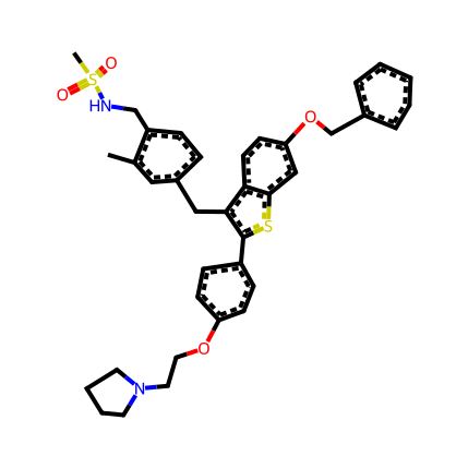 Cc1cc(Cc2c(-c3ccc(OCCN4CCCC4)cc3)sc3cc(OCc4ccccc4)ccc23)ccc1CNS(C)(=O)=O